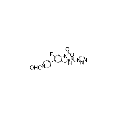 O=CN1CC=C(c2cc3c(cc2F)N2C(=O)O[C@@H](Cn4ccnn4)[C@@H]2C3)CC1